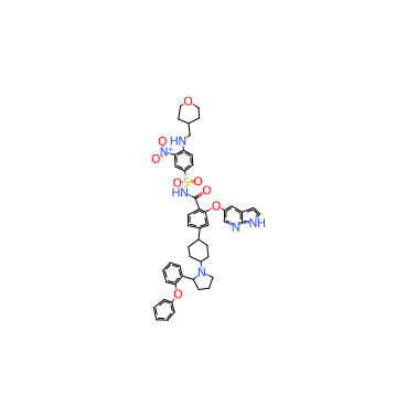 O=C(NS(=O)(=O)c1ccc(NCC2CCOCC2)c([N+](=O)[O-])c1)c1ccc(C2CCC(N3CCCC3c3ccccc3Oc3ccccc3)CC2)cc1Oc1cnc2[nH]ccc2c1